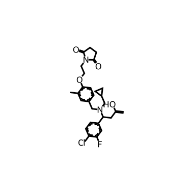 C=C(O)CC(c1ccc(Cl)c(F)c1)N(Cc1ccc(OCCN2C(=O)CCC2=O)c(C)c1)CC1CC1